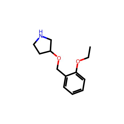 CCOc1ccccc1COC1CCNC1